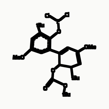 COC1=CC(C(C)(C)C)C(OC(=O)OC(C)(C)C)C(c2cc(OC)cc(C(C)(C)C)c2OP(Cl)Cl)=C1